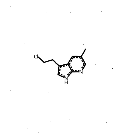 Cc1cnc2[nH]cc(CCCl)c2c1